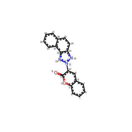 O=c1oc2ccccc2cc1-n1nc2ccc3ccccc3c2n1